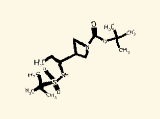 CCC(NS(=O)(=O)C(C)(C)C)C1CN(C(=O)OC(C)(C)C)C1